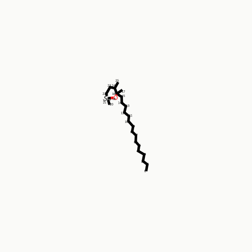 CCCCCCCCCCCCCCCCC1(C)O[Si](C)(C)CCC1C